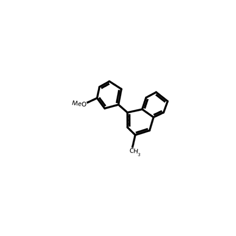 COc1cccc(-c2cc(C)cc3ccccc23)c1